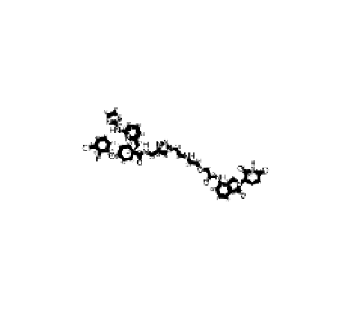 O=C1CCC(N2Cc3c(NC(=O)COCCNCCn4cc(CNC(=O)[C@]5(Cc6cccc(Nc7nccs7)n6)CC[C@@H](Oc6cccc(Cl)c6F)CC5)nn4)cccc3C2=O)C(=O)N1